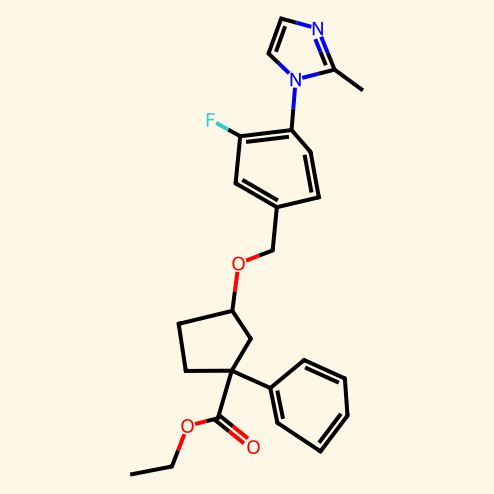 CCOC(=O)C1(c2ccccc2)CCC(OCc2ccc(-n3ccnc3C)c(F)c2)C1